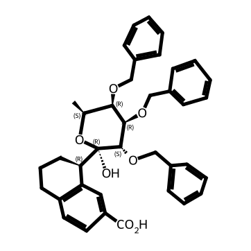 C[C@@H]1O[C@](O)([C@@H]2CCCc3ccc(C(=O)O)cc32)[C@@H](OCc2ccccc2)[C@H](OCc2ccccc2)[C@@H]1OCc1ccccc1